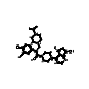 CC(C)N1CCN(C[C@@H](C(=O)N2CCN(c3ncnc4c3[C@H](C)C[C@H]4O)CC2)c2ccc(Cl)c(F)c2)CC1